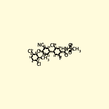 Cc1c(Cl)ccc(Cl)c1Oc1ncc(-c2cc(F)c(C(=O)NS(C)(=O)=O)cc2Cl)cc1C#N